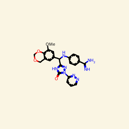 COc1cc(C(Nc2ccc(C(=N)N)cc2)c2nn(-c3cccnn3)c(=O)[nH]2)cc2c1OCOC2